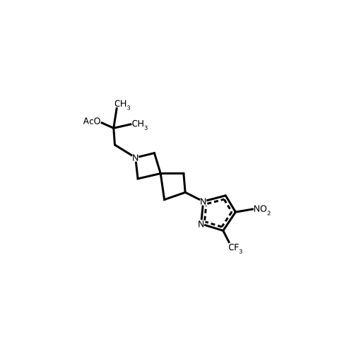 CC(=O)OC(C)(C)CN1CC2(CC(n3cc([N+](=O)[O-])c(C(F)(F)F)n3)C2)C1